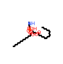 CCCCC/C=C\C/C=C\C/C=C\CCCCC(=O)OCC(COP(=O)(O)OCCNC)OC(=O)CCCCCCCCCCCCCC